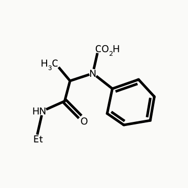 CCNC(=O)C(C)N(C(=O)O)c1ccccc1